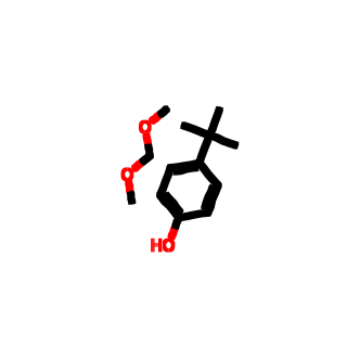 CC(C)(C)c1ccc(O)cc1.COCOC